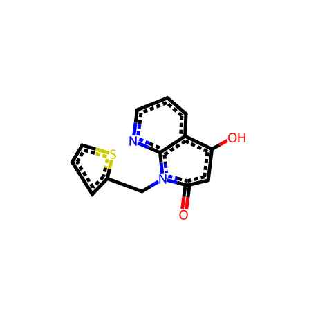 O=c1cc(O)c2cccnc2n1Cc1cccs1